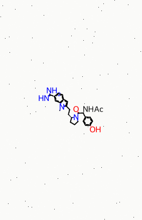 CC(=O)N[C@@H](C(=O)N1CCC[C@H]1CCc1cc2ccc(C(=N)N)cc2n1C)c1ccc(O)cc1